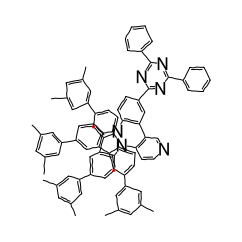 Cc1cc(C)cc(-c2ccc3c(c2)c2cc(-c4cc(C)cc(C)c4)ccc2n3-c2ccncc2-c2cc(-c3nc(-c4ccccc4)nc(-c4ccccc4)n3)ccc2-n2c3ccc(-c4cc(C)cc(C)c4)cc3c3cc(-c4cc(C)cc(C)c4)ccc32)c1